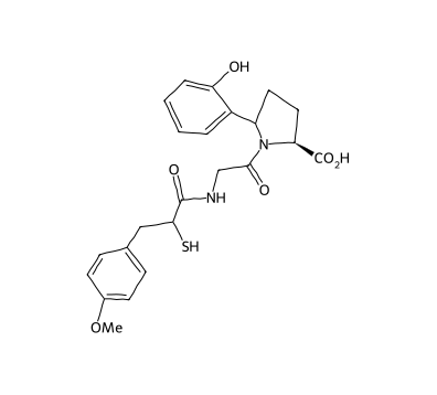 COc1ccc(CC(S)C(=O)NCC(=O)N2C(c3ccccc3O)CC[C@H]2C(=O)O)cc1